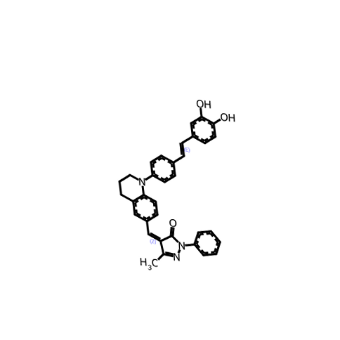 CC1=NN(c2ccccc2)C(=O)/C1=C\c1ccc2c(c1)CCCN2c1ccc(/C=C/c2ccc(O)c(O)c2)cc1